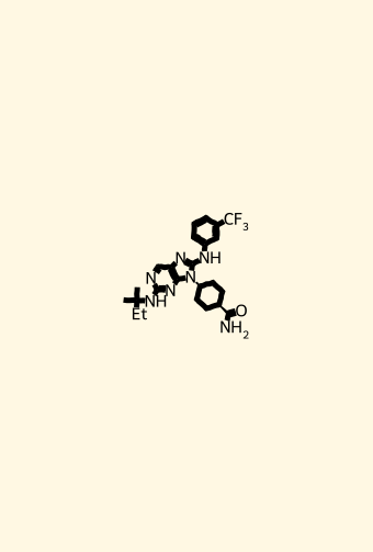 CCC(C)(C)Nc1ncc2nc(Nc3cccc(C(F)(F)F)c3)n([C@H]3CC[C@H](C(N)=O)CC3)c2n1